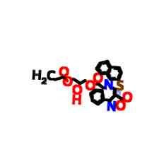 C=CC(=O)OCC(O)COC(=O)CN1/C(=C2/C(=O)ON=C2c2ccccc2)Sc2ccc3ccccc3c21